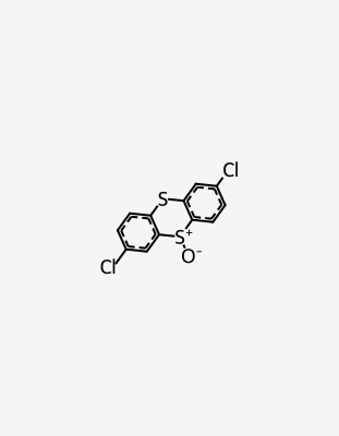 [O-][S+]1c2ccc(Cl)cc2Sc2ccc(Cl)cc21